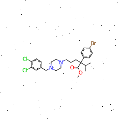 COC(=O)C(CCCN1CCN(Cc2ccc(Cl)c(Cl)c2)CC1)(c1ccc(Br)cc1)C(C)C